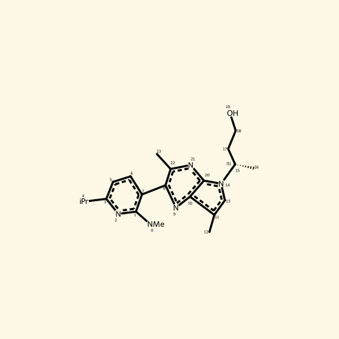 CNc1nc(C(C)C)ccc1-c1nc2c(C)cn([C@@H](C)CCO)c2nc1C